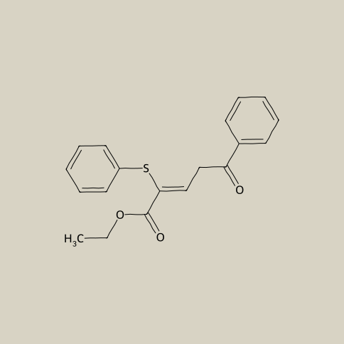 CCOC(=O)C(=CCC(=O)c1ccccc1)Sc1ccccc1